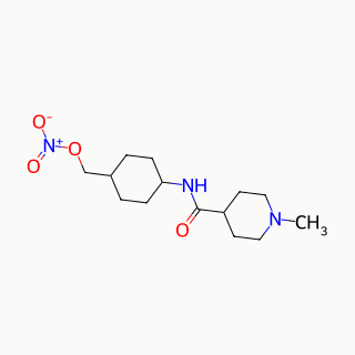 CN1CCC(C(=O)NC2CCC(CO[N+](=O)[O-])CC2)CC1